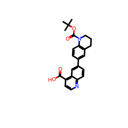 CC(C)(C)OC(=O)N1CCCc2cc(-c3ccc4nccc(C(=O)O)c4c3)ccc21